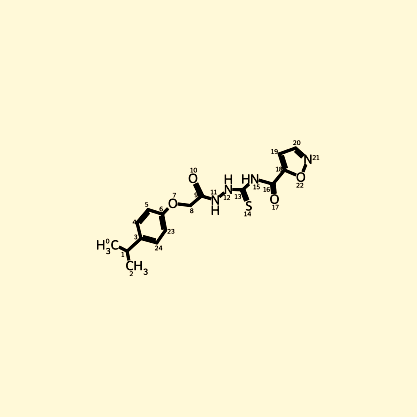 CC(C)c1ccc(OCC(=O)NNC(=S)NC(=O)c2ccno2)cc1